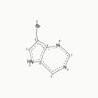 Brc1c[nH]c2cncnc12